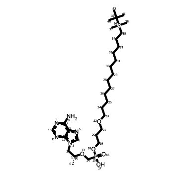 C[C@H](Cn1cnc2c(N)ncnc21)OCP(=O)(O)OCCCOCCCCCCCCCCCCCS(C)(C)C(C)(C)C